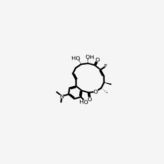 C[C@@H]1/C=C(/F)C(=O)[C@@H](O)[C@@H](O)C/C=C/c2cc(N(C)C)cc(O)c2C(=O)O[C@H]1C